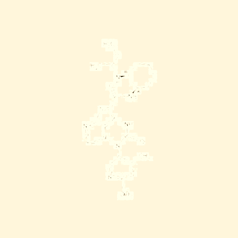 C=CC(=C)N[C@H]1CCCC[C@H]1NC(=O)c1sc2nccc3c2c1NC(=O)N3c1cnc(OCC(C)C)cc1C